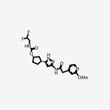 COc1cc(CC(=O)Nc2cc([C@H]3CC[C@@H](OC(=O)NCC(F)F)C3)[nH]n2)ccn1